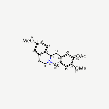 COc1ccc2c(c1)CCN(C(C)=O)C2Cc1ccc(OC)c(OC(C)=O)c1